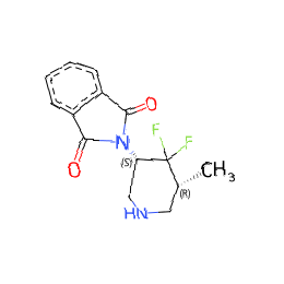 C[C@@H]1CNC[C@H](N2C(=O)c3ccccc3C2=O)C1(F)F